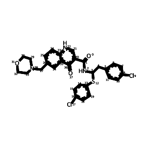 O=C(NC(Cc1ccc(Cl)cc1)Sc1ccc(Cl)cc1)c1c[nH]c2ccc(CN3CCOCC3)cc2c1=O